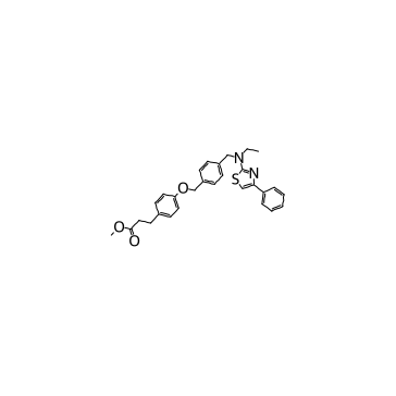 CCN(Cc1ccc(COc2ccc(CCC(=O)OC)cc2)cc1)c1nc(-c2ccccc2)cs1